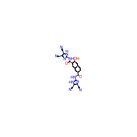 N#Cc1nc(NC(=O)c2ccc3cc(O)c(C(=O)Nc4nc(C#N)c(C#N)[nH]4)cc3c2)[nH]c1C#N